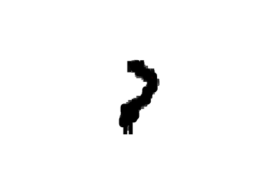 Cn1c2ccncc2c2ccc(-c3ccc(O[C@H]4C[C@H](OCCOCCOC5CC6(C5)CN(c5ccc7c(c5)C(=O)N(C5CCC(=O)NC5=O)C7=O)C6)C4)nc3)cc21